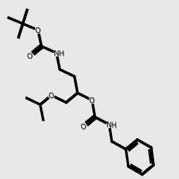 CC(C)OCC(CCNC(=O)OC(C)(C)C)OC(=O)NCc1ccccc1